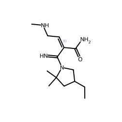 CCC1CN(C(=N)/C(=C\CNC)C(N)=O)C(C)(C)C1